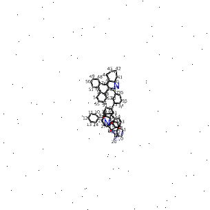 C1=C\c2ccc3ccc(-c4ccccc4)nc3c2/C=C/C=C/1c1ccc2c(ccc3ccc(-c4cccc(-c5nc6ccccc6c6c7ccccc7c7ccccc7c56)c4)cc32)c1